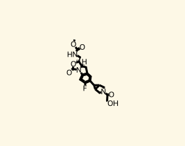 COC(=O)NC[C@@H]1OC(=O)N2c3cc(F)c(C4C5CN(C(=O)CO)CC54)cc3C[C@@H]12